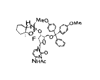 COc1ccc(C(OC[C@H]2O[C@@H](n3ccc(NC(C)=O)nc3=O)[C@H](F)[C@@H]2O[P@]2O[C@@]3(C)CCCC[C@@H]3N2C)(c2ccccc2)c2ccc(OC)cc2)cc1